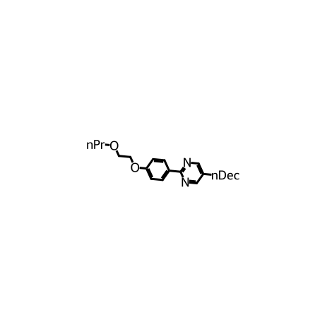 CCCCCCCCCCc1cnc(-c2ccc(OCCOCCC)cc2)nc1